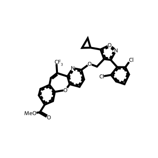 COC(=O)c1ccc2c(c1)Oc1ccc(OCc3c(-c4c(Cl)cccc4Cl)noc3C3CC3)nc1C(C(F)(F)F)=C2